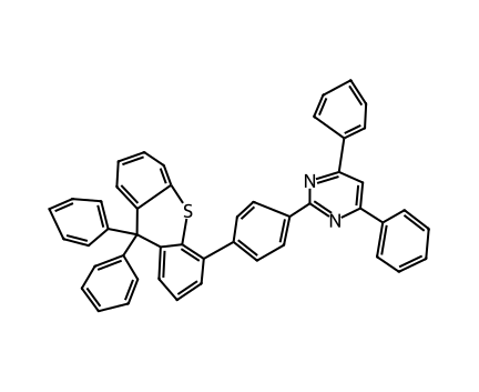 c1ccc(-c2cc(-c3ccccc3)nc(-c3ccc(-c4cccc5c4Sc4ccccc4C5(c4ccccc4)c4ccccc4)cc3)n2)cc1